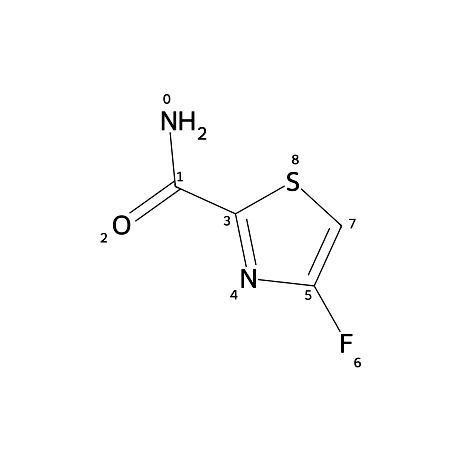 NC(=O)c1nc(F)cs1